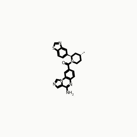 C[C@@H]1CCN(C(=O)c2ccc3nc(N)c4cncn4c3c2)[C@@H](c2ccc3scnc3c2)C1